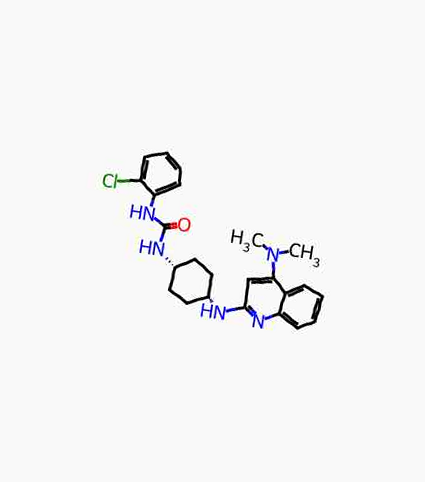 CN(C)c1cc(N[C@H]2CC[C@@H](NC(=O)Nc3ccccc3Cl)CC2)nc2ccccc12